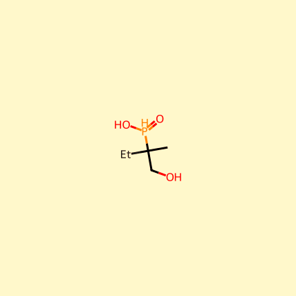 CCC(C)(CO)[PH](=O)O